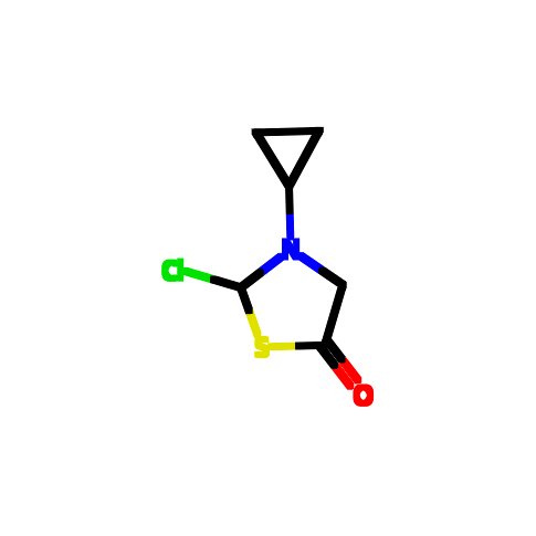 O=C1CN(C2CC2)C(Cl)S1